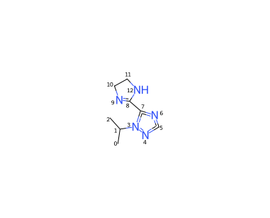 CC(C)n1ncnc1C1=NCCN1